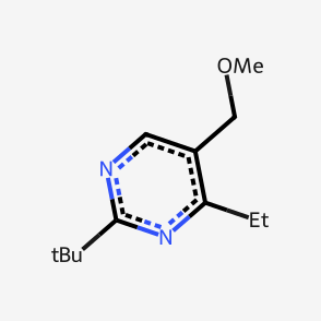 CCc1nc(C(C)(C)C)ncc1COC